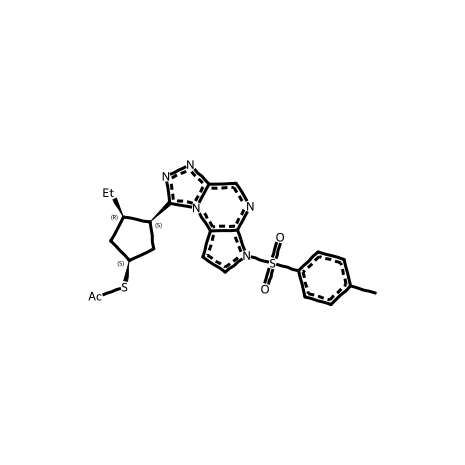 CC[C@@H]1C[C@H](SC(C)=O)C[C@@H]1c1nnc2cnc3c(ccn3S(=O)(=O)c3ccc(C)cc3)n12